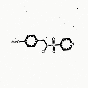 COc1ccc(CN(Cl)S(=O)(=O)c2ccncc2)cc1